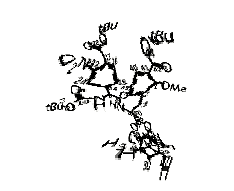 COc1c(C[C@H](NC(=O)C(NC(=O)OC(C)(C)C)c2ccc(C(=O)OC(C)(C)C)c([N+](=O)[O-])c2)B2O[C@@H]3C[C@@H]4C[C@@H](C4(C)C)[C@]3(C)O2)cccc1C(=O)OC(C)(C)C